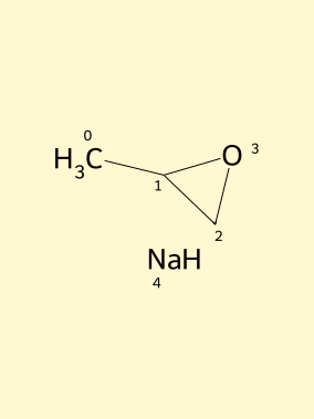 CC1CO1.[NaH]